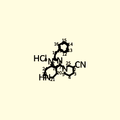 Cl.N#CC1CCCN(c2nc(Cc3ccccc3)nc3c2CCNCC3)C1